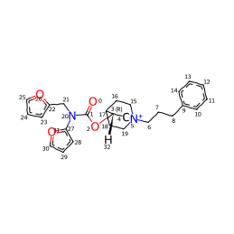 O=C(O[C@H]1C[N+]2(CCCc3ccccc3)CCC1CC2)N(Cc1ccco1)c1ccco1